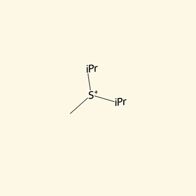 CC(C)[S+](C)C(C)C